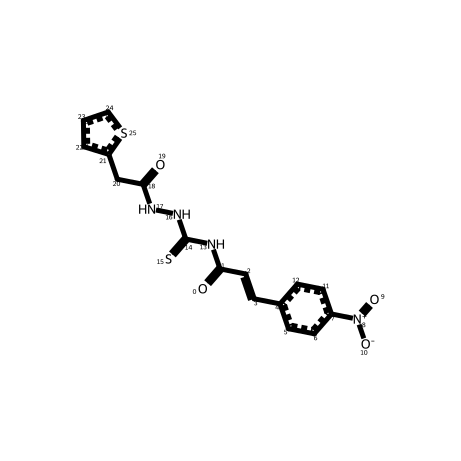 O=C(C=Cc1ccc([N+](=O)[O-])cc1)NC(=S)NNC(=O)Cc1cccs1